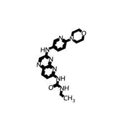 CCNC(=O)Nc1ccc2ncc(Nc3ccc(N4CCOCC4)nc3)nc2n1